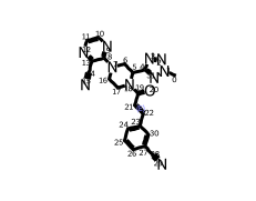 Cn1nnc(C2CN(c3nccnc3C#N)CCN2C(=O)/C=C/c2cccc(C#N)c2)n1